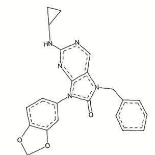 O=c1n(Cc2ccccc2)c2cnc(NC3CC3)nc2n1-c1ccc2c(c1)OCO2